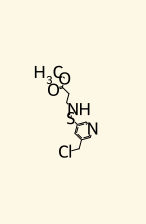 COC(=O)CCNSc1cncc(CCl)c1